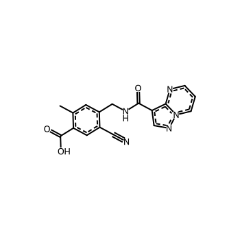 Cc1cc(CNC(=O)c2cnn3cccnc23)c(C#N)cc1C(=O)O